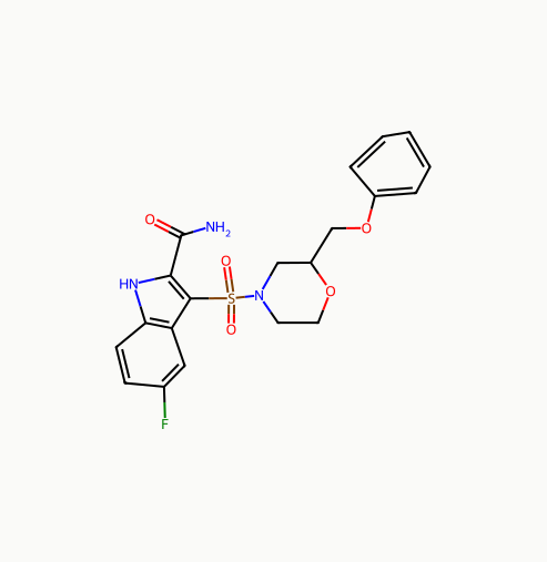 NC(=O)c1[nH]c2ccc(F)cc2c1S(=O)(=O)N1CCOC(COc2ccccc2)C1